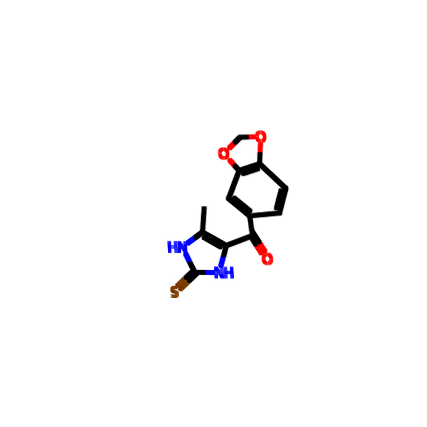 Cc1[nH]c(=S)[nH]c1C(=O)c1ccc2c(c1)OCO2